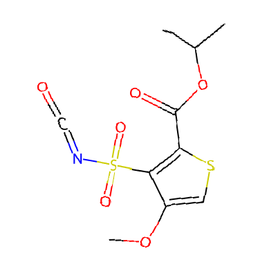 COc1csc(C(=O)OC(C)C)c1S(=O)(=O)N=C=O